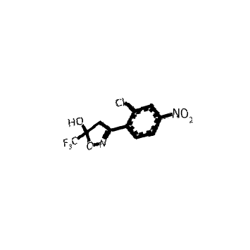 O=[N+]([O-])c1ccc(C2=NOC(O)(C(F)(F)F)C2)c(Cl)c1